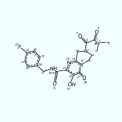 C[As](C)C(=O)C(=O)N1CCn2c(nc(C(=O)NCc3ccc(F)cc3)c(O)c2=O)C1